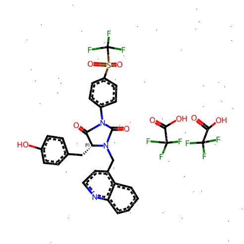 O=C(O)C(F)(F)F.O=C(O)C(F)(F)F.O=C1[C@@H](Cc2ccc(O)cc2)N(Cc2ccnc3ccccc23)C(=O)N1c1ccc(S(=O)(=O)C(F)(F)F)cc1